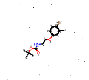 Cc1cc(OCCNC(=O)OC(C)(C)C)ccc1Br